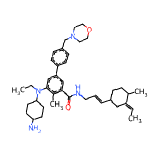 C/C=C1\CC(/C=C/CNC(=O)c2cc(-c3ccc(CN4CCOCC4)cc3)cc(N(CC)C3CCC(N)CC3)c2C)CCC1C